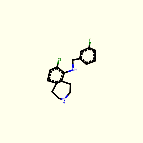 Fc1cccc(CNc2c(Cl)ccc3c2CCNCC3)c1